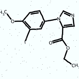 CCOC(=O)c1cncn1-c1ccc(OC)c(I)c1